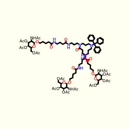 CC(=O)NC1[C@H](OCCCCC(=O)NCCCC(=O)NCCCN(CCCN(CCCNC(=O)CCCNC(=O)CCCCO[C@@H]2OC(COC(C)=O)[C@H](OC(C)=O)[C@H](OC(C)=O)C2NC(C)=O)C(c2ccccc2)(c2ccccc2)c2ccccc2)C(=O)CCCNC(=O)CCCCO[C@@H]2OC(COC(C)=O)[C@H](OC(C)=O)[C@H](OC(C)=O)C2NC(C)=O)OC(COC(C)=O)[C@H](OC(C)=O)[C@@H]1OC(C)=O